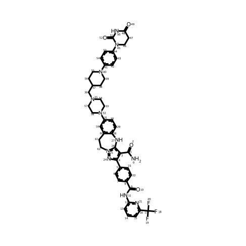 NC(=O)c1c(-c2ccc(C(=O)Nc3cccc(C(F)(F)F)n3)cc2)nn2c1Nc1ccc(N3CCN(CC4CCN(c5ccc(N6CCC(=O)NC6=O)cc5)CC4)CC3)cc1CC2